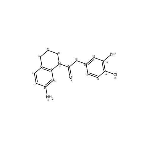 Nc1ccc2c(c1)N(C(=O)Cc1ccc(Cl)c(Cl)c1)CCC2